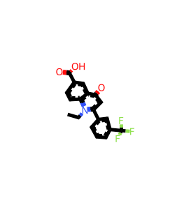 CCn1c(-c2cccc(C(F)(F)F)c2)cc(=O)c2cc(C(=O)O)ccc21